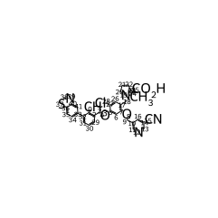 Cc1c(COc2cc(OCc3cncc(C#N)c3)c(CN3CCC[C@@]3(C)C(=O)O)cc2Cl)cccc1-c1ccc2scnc2c1